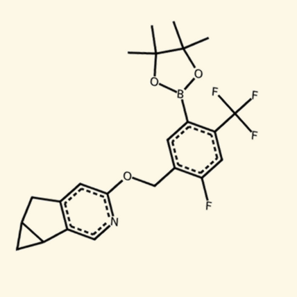 CC1(C)OB(c2cc(COc3cc4c(cn3)C3CC3C4)c(F)cc2C(F)(F)F)OC1(C)C